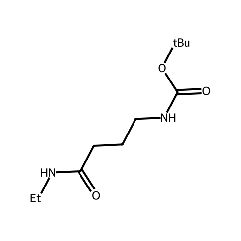 CCNC(=O)CCCNC(=O)OC(C)(C)C